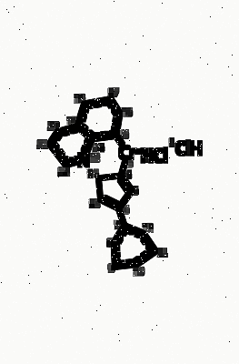 Cl.Cl.[CH3][Cr]([C]1=CC(c2ccccc2)=CC1)[c]1cccc2cccnc12